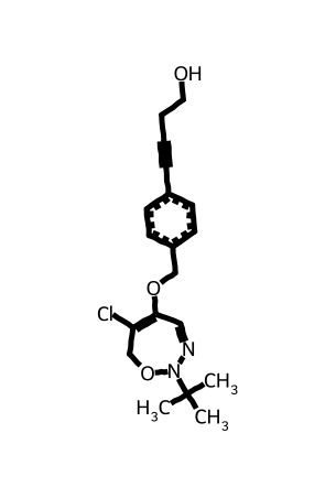 CC(C)(C)N1N=CC(OCc2ccc(C#CCCO)cc2)=C(Cl)CO1